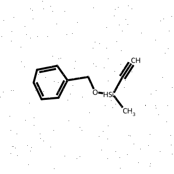 C#C[SiH](C)OCc1ccccc1